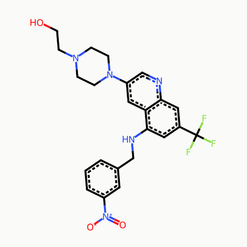 O=[N+]([O-])c1cccc(CNc2cc(C(F)(F)F)cc3ncc(N4CCN(CCO)CC4)cc23)c1